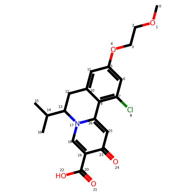 COCCOc1cc(Cl)c2c(c1)CC(C(C)C)n1cc(C(=O)O)c(=O)cc1-2